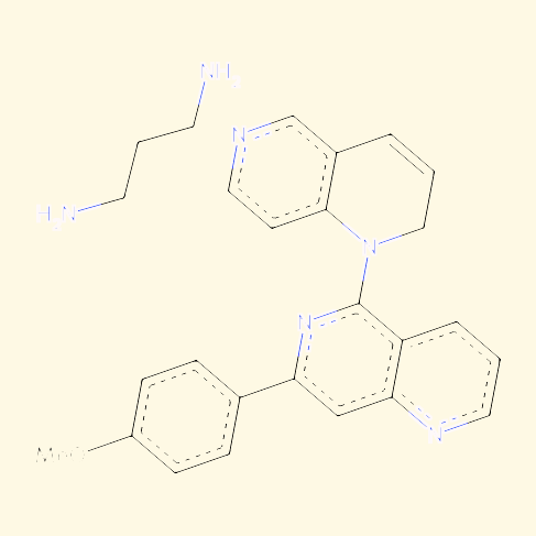 COc1ccc(-c2cc3ncccc3c(N3CC=Cc4cnccc43)n2)cc1.NCCCN